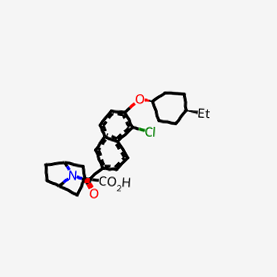 CC[C@H]1CC[C@@H](Oc2ccc3cc(C(=O)N4C5CCC4CC(C(=O)O)C5)ccc3c2Cl)CC1